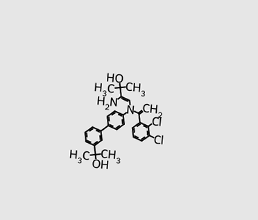 C=C(c1cccc(Cl)c1Cl)N(/C=C(\N)C(C)(C)O)c1ccc(-c2cccc(C(C)(C)O)c2)cc1